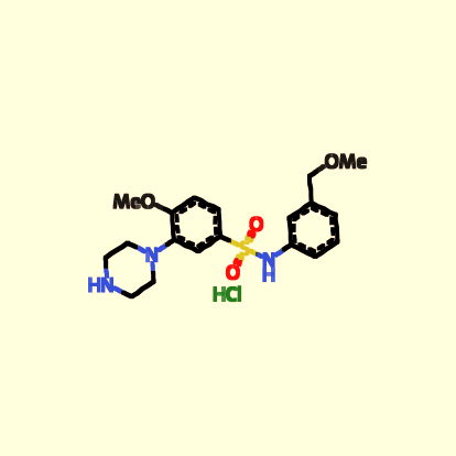 COCc1cccc(NS(=O)(=O)c2ccc(OC)c(N3CCNCC3)c2)c1.Cl